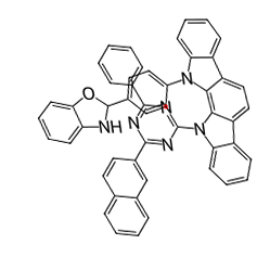 c1ccc(-c2nc(-c3ccc4ccccc4c3)nc(-n3c4ccccc4c4ccc5c6ccccc6n(-c6ccc(C7Nc8ccccc8O7)cc6)c5c43)n2)cc1